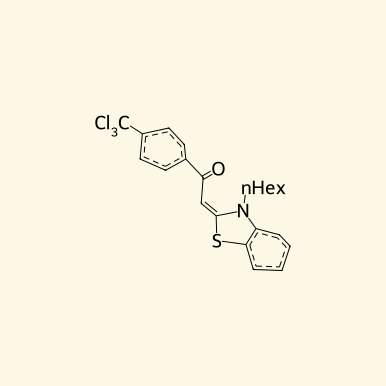 CCCCCCN1C(=CC(=O)c2ccc(C(Cl)(Cl)Cl)cc2)Sc2ccccc21